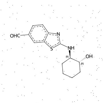 O=Cc1ccc2nc(N[C@@H]3CCCC[C@H]3O)sc2c1